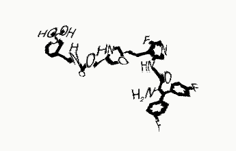 N[C@H](C(=O)Nc1cncc(F)c1CC[C@@H]1CN[C@H](COC(=O)NCC2CCS(O)(O)C2)CO1)C(c1ccc(F)cc1)c1ccc(F)cc1